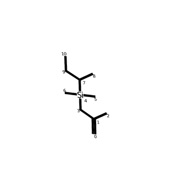 C=C(C)C[Si](C)(C)C(C)CC